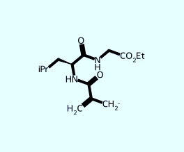 [CH2]C(=C)C(=O)N[C@@H](CC(C)C)C(=O)NCC(=O)OCC